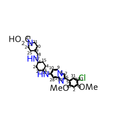 COc1cc(OC)c(-c2cn3ccc(N[C@H]4CC[C@@H](NCC5CCN(C(=O)O)CC5)CC4)cc3n2)cc1Cl